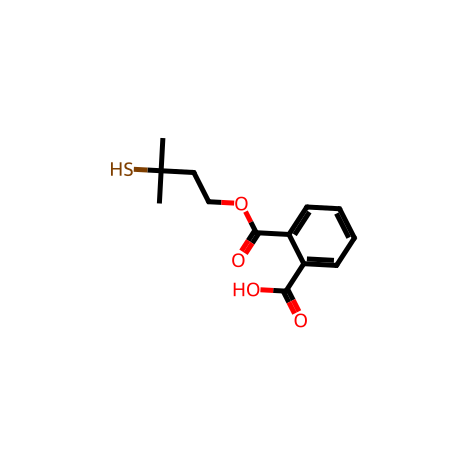 CC(C)(S)CCOC(=O)c1ccccc1C(=O)O